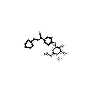 O=C(C=Cc1ccccc1)c1ccc(OC2O[C@H](CO)[C@@H](O)[C@H](O)[C@H]2O)cc1